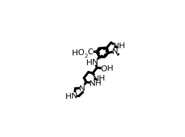 CN1NCc2cc(C(=O)O)c(NC(O)C3CCC(N4CCNC4)NN3)cc21